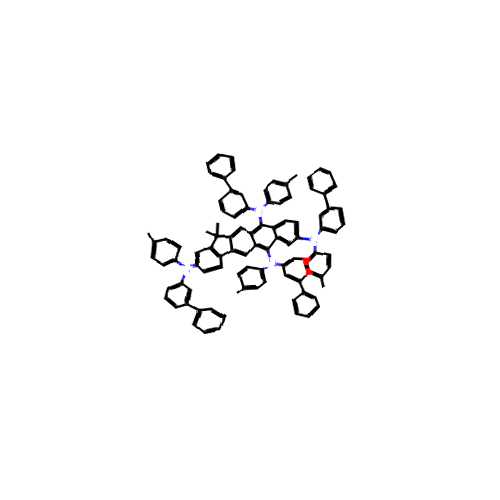 Cc1ccc(N(c2cccc(-c3ccccc3)c2)c2ccc3c(c2)C(C)(C)c2cc4c(N(c5ccc(C)cc5)c5cccc(-c6ccccc6)c5)c5ccc(N(c6ccc(C)cc6)c6cccc(-c7ccccc7)c6)cc5c(N(c5ccc(C)cc5)c5cccc(-c6ccccc6)c5)c4cc2-3)cc1